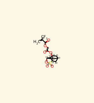 C=C(C(=O)OCC(=O)OC1C2CCC3C1OS(=O)(=O)C3C2)C(F)(F)F